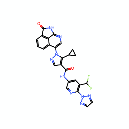 O=C(Nc1cnc(-n2nccn2)c(C(F)F)c1)c1cnn(-c2cnc3c4c(cccc24)C(=O)N3)c1C1CC1